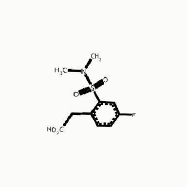 CN(C)S(=O)(=O)c1cc(F)ccc1CC(=O)O